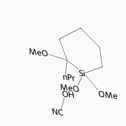 CCCC1(OC)CCCC[Si]1(OC)OC.N#CO